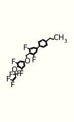 CCCc1ccc(-c2cc(F)c(COc3cc(F)c(OC(F)(F)C=C(F)F)c(F)c3)c(F)c2)cc1